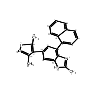 Cc1nc2c(-c3cccc4ccccc34)cc(-c3c(C)noc3C)cc2[nH]1